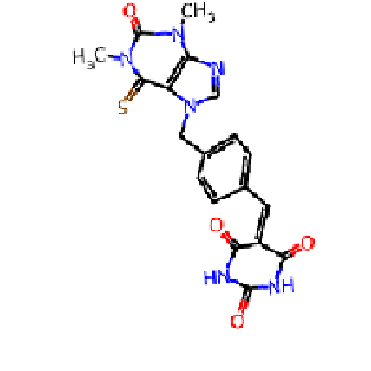 Cn1c(=S)c2c(ncn2Cc2ccc(C=C3C(=O)NC(=O)NC3=O)cc2)n(C)c1=O